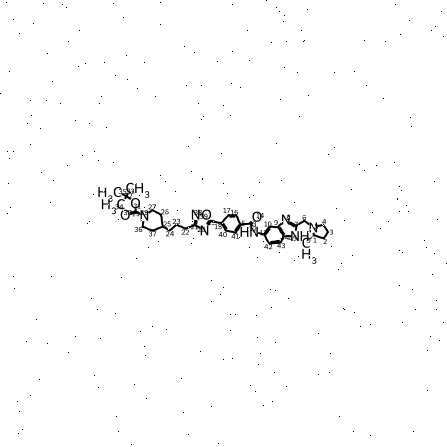 C[C@H]1CCCN1Cc1nc2cc(NC(=O)c3ccc(-c4nc(CCCC5CCN(C(=O)OC(C)(C)C)CC5)no4)cc3)ccc2[nH]1